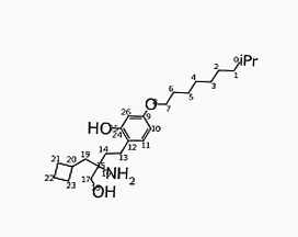 CC(C)CCCCCCCOc1ccc(CCC(N)(CO)CC2CCC2)c(O)c1